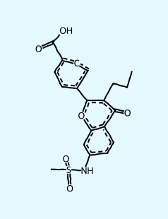 CCCc1c(-c2ccc(C(=O)O)cc2)oc2cc(NS(C)(=O)=O)ccc2c1=O